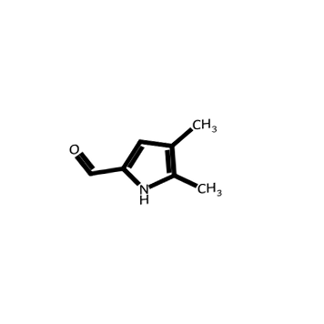 Cc1cc(C=O)[nH]c1C